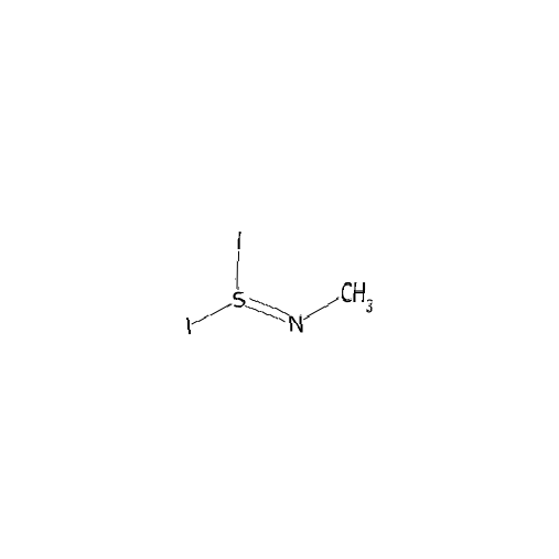 CN=S(I)I